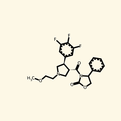 COCCN1C[C@@H](C(=O)N2C(=O)OCC2c2ccccc2)[C@H](c2cc(F)c(F)c(F)c2)C1